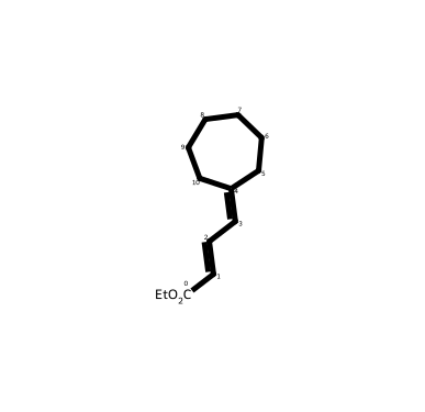 CCOC(=O)/C=C/C=C1CCCCCC1